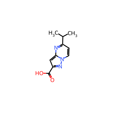 CC(C)c1ccn2nc(C(=O)O)cc2n1